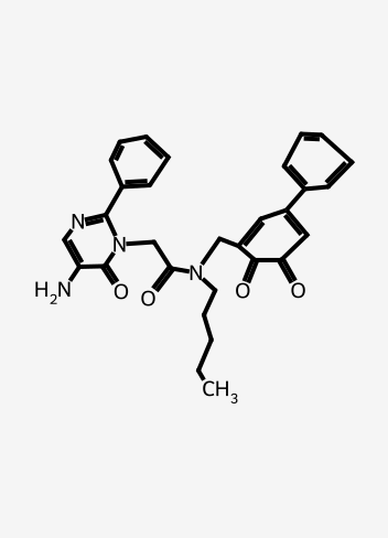 CCCCCN(CC1=CC(c2ccccc2)=CC(=O)C1=O)C(=O)Cn1c(-c2ccccc2)ncc(N)c1=O